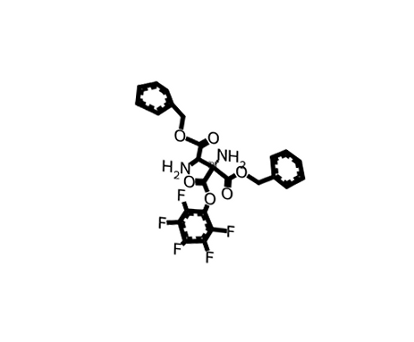 NC(C(=O)OCc1ccccc1)[C@@](N)(C(=O)OCc1ccccc1)C(=O)Oc1c(F)c(F)c(F)c(F)c1F